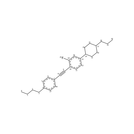 CCCCc1ccc(C#Cc2ccc(C3CCC(CCC)CC3)cc2F)cc1